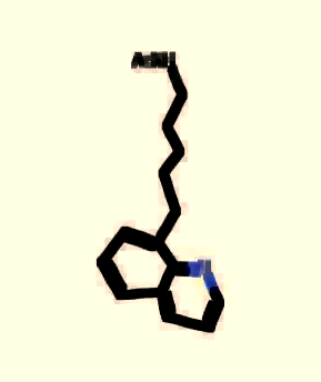 CC(=O)NCCCCCc1cccc2cccnc12